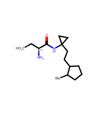 CC(C)(C)C1CCCC1CCC1(NC(=O)[C@@H](N)CC(=O)O)CC1